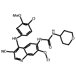 CCOc1cc2ncc(C#N)c(Nc3ccc(Cl)c(OC)c3)c2cc1NC(=O)NC1CCOCC1